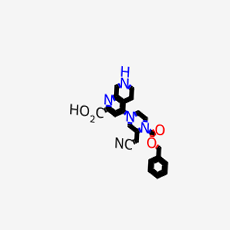 N#CCC1CN(c2cc(C(=O)O)nc3c2CCNC3)CCN1C(=O)OCc1ccccc1